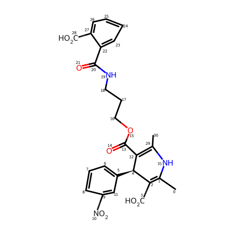 CC1=C(C(=O)O)[C@@H](c2cccc([N+](=O)[O-])c2)C(C(=O)OCCCNC(=O)c2ccccc2C(=O)O)=C(C)N1